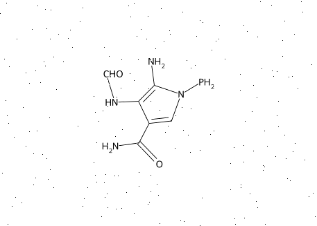 NC(=O)c1cn(P)c(N)c1NC=O